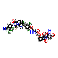 CC1(C)C(=O)N(c2ccc(C#N)c(C(F)(F)F)c2F)C(=S)N1c1cnc(-c2cc(F)c(OCCNC(=O)COc3cccc4c3C(O)N(C3CCC(=O)NC3=O)C4=O)c(F)c2)c(F)c1